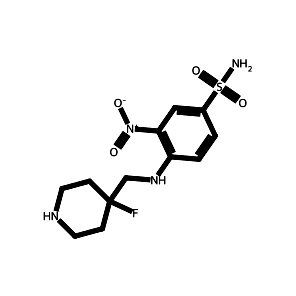 NS(=O)(=O)c1ccc(NCC2(F)CCNCC2)c([N+](=O)[O-])c1